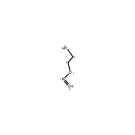 [CH]=NOCCCCC